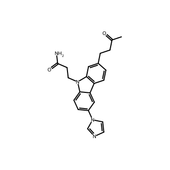 CC(=O)CCc1ccc2c3cc(-n4ccnc4)ccc3n(CCC(N)=O)c2c1